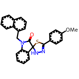 COc1ccc(C2=NNC3(S2)C(=O)N(Cc2cccc4ccccc24)c2ccccc23)cc1